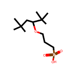 CC(C)(C)CC(OCCCS(=O)(=O)O)C(C)(C)C